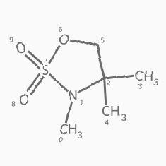 CN1C(C)(C)COS1(=O)=O